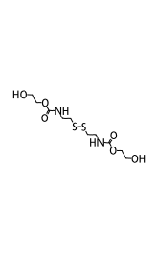 O=C(NCCSSCCNC(=O)OCCO)OCCO